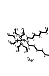 CCCCCCCN(CCCCCCC)[P+](N(CC)CC)(N(CC)CC)N(CC)CC.[Br-]